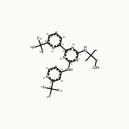 CC(C)(CO)Nc1nc(Nc2ccnc(C(F)(F)F)c2)nc(-c2cccc(C(F)(F)F)n2)n1